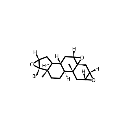 C[C@]12CC[C@H]3[C@@H](C[C@@H]4O[C@@]45C[C@@H]4O[C@@H]4C[C@]35C)[C@@H]1C[C@H]1O[C@]12Br